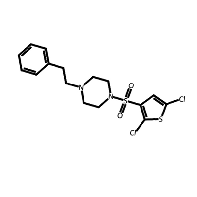 O=S(=O)(c1cc(Cl)sc1Cl)N1CCN(CCc2ccccc2)CC1